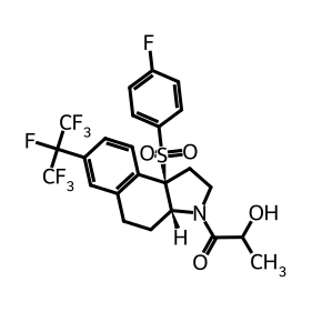 CC(O)C(=O)N1CC[C@@]2(S(=O)(=O)c3ccc(F)cc3)c3ccc(C(F)(C(F)(F)F)C(F)(F)F)cc3CC[C@@H]12